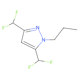 CCCn1nc(C(F)F)cc1C(F)F